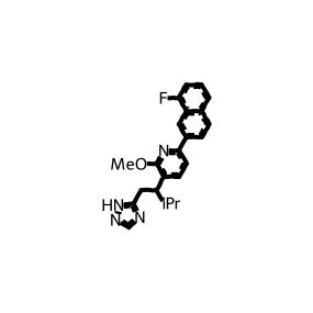 COc1nc(-c2ccc3cccc(F)c3c2)ccc1C(Cc1ncn[nH]1)C(C)C